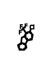 FC(F)(F)c1c(Cl)ccc2c1Cc1ccccc1-2